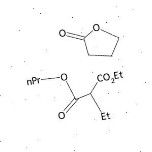 CCCOC(=O)C(CC)C(=O)OCC.O=C1CCCO1